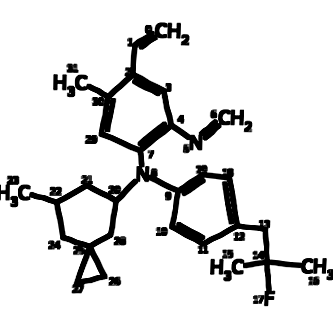 C=Cc1cc(N=C)c(N(c2ccc(CC(C)(C)F)cc2)C2CC(C)CC3(CC3)C2)cc1C